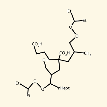 CCCCCCCC(OOC(CC)CC)C(CO)CC(CCCC(=O)O)(CC(C)COOC(CC)CC)C(=O)O